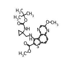 COC(=O)c1sc2ccc3nc(OC)cnc3c2c1NCC1(NC(=O)OC(C)(C)C)CC1